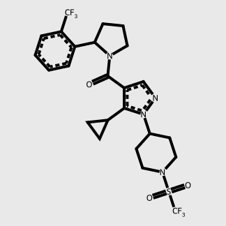 O=C(c1cnn(C2CCN(S(=O)(=O)C(F)(F)F)CC2)c1C1CC1)N1CCCC1c1ccccc1C(F)(F)F